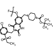 CCS(=O)(=O)c1ccc(Cl)cc1Cn1c(=O)[nH]c2cc(CN3CCN(C(=O)OC(C)(C)C)CC3)c(OC(F)(F)F)cc2c1=O